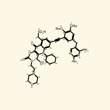 COc1cc(Cc2cnc(N)nc2N)cc(C#Cc2cc(CS(=O)(=O)O)c3c(=O)c(OC(=O)OCCN4CCOCC4)c(CS(=O)(=O)O)n(C4CCCCC4)c3c2)c1OC